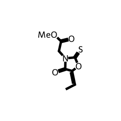 C/C=C1/OC(=S)N(CC(=O)OC)C1=O